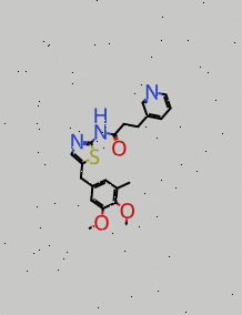 COc1cc(Cc2cnc(NC(=O)CCc3cccnc3)s2)cc(C)c1OC